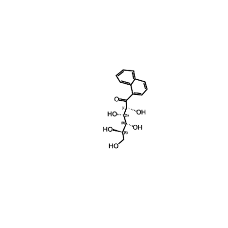 O=C(c1cccc2ccccc12)[C@H](O)[C@@H](O)[C@H](O)[C@H](O)CO